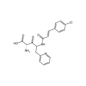 N[C@H](C(=O)O)C(=O)C(Cc1ccccn1)NC(=O)/C=C/c1ccc(Cl)cc1